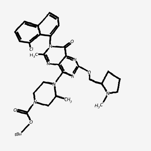 Cc1nc2c(N3CCN(C(=O)OC(C)(C)C)CC3C)nc(OCC3CCCN3C)nc2c(=O)n1-c1cccc2cccc(Cl)c12